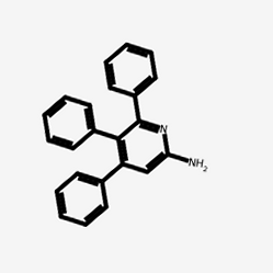 Nc1cc(-c2ccccc2)c(-c2ccccc2)c(-c2ccccc2)n1